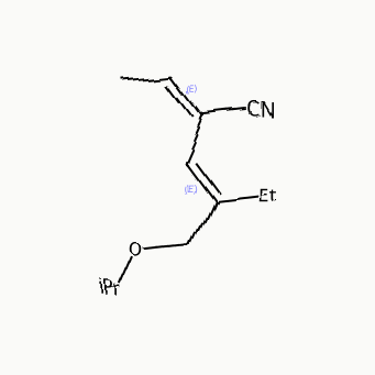 C/C=C(C#N)\C=C(/CC)COC(C)C